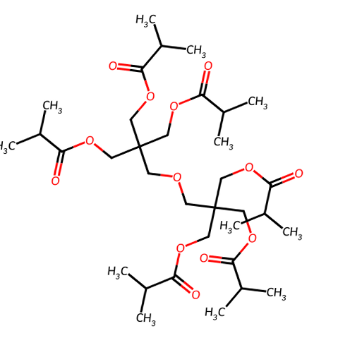 CC(C)C(=O)OCC(COCC(COC(=O)C(C)C)(COC(=O)C(C)C)COC(=O)C(C)C)(COC(=O)C(C)C)COC(=O)C(C)C